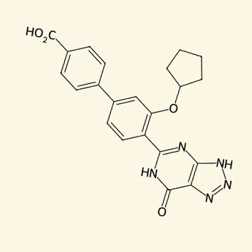 O=C(O)c1ccc(-c2ccc(-c3nc4[nH]nnc4c(=O)[nH]3)c(OC3CCCC3)c2)cc1